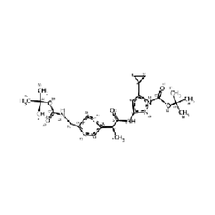 CC(C(=O)Nc1cc(C2CC2)n(C(=O)OC(C)(C)C)n1)c1ccc(CNC(=O)OC(C)(C)C)nc1